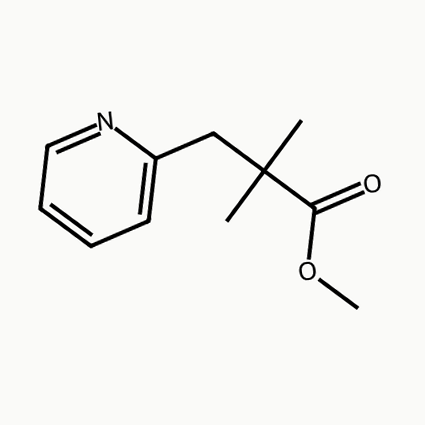 COC(=O)C(C)(C)Cc1ccccn1